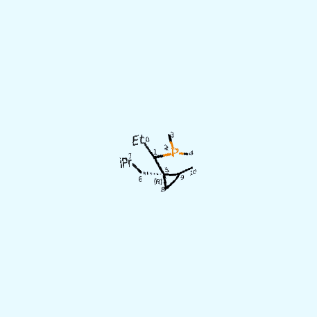 CCC(P(C)C)[C@]1(CC(C)C)CC1C